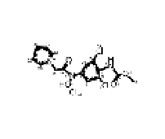 COC(=O)Nc1c(Cl)cc(N(O)C(=O)C[n+]2ccccc2)cc1Cl.[Cl-]